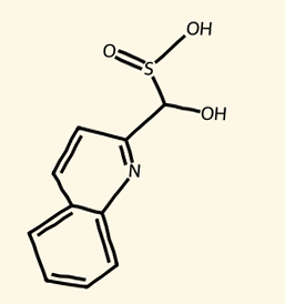 O=S(O)C(O)c1ccc2ccccc2n1